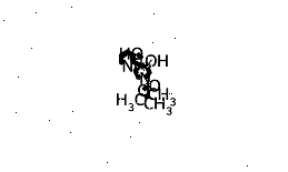 CC(C)(C)OC(=O)N1CC[C@@](CO)(c2ccccn2)[C@H](O)C1